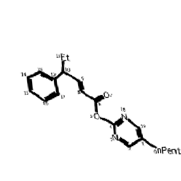 CCCCCc1cnc(OC(=O)/C=C/C(CC)c2ccccc2)nc1